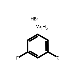 Br.Fc1cccc(Cl)c1.[MgH2]